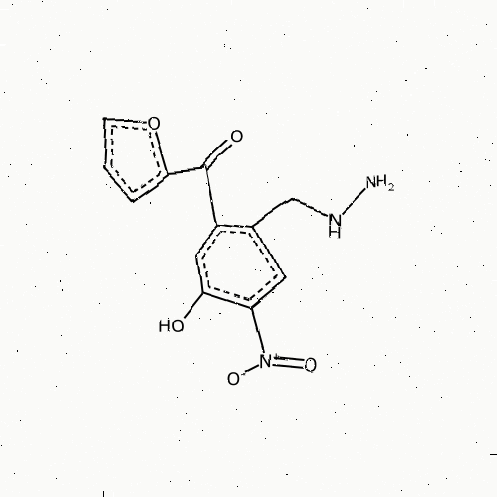 NNCc1cc([N+](=O)[O-])c(O)cc1C(=O)c1ccco1